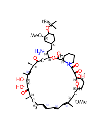 CO[C@H]1C[C@@H]2CC[C@@H](C)[C@@](O)(O2)C(=O)C(=O)N2CCCC[C@H]2C(=O)O[C@H]([C@H](N)C[C@@H]2CCC(O[Si](C)(C)C(C)(C)C)[C@H](OC)C2)CC(=O)[C@H](C)/C=C(\C)[C@@H](O)[C@@H](O)C(=O)[C@H](C)C[C@H](C)/C=C/C=C/C=C/1C